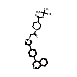 CC(C)(C)OC(=O)N1CCN(C(=O)Cn2cc(-c3ccc(-c4cncc5ccccc45)cc3)cn2)CC1